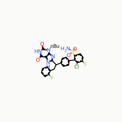 CCCCn1c(=O)[nH]c(=O)c2[nH]c(C(Cc3ccccc3F)c3ccc(-c4c(S(N)(=O)=O)ccc(F)c4Cl)cc3)nc21